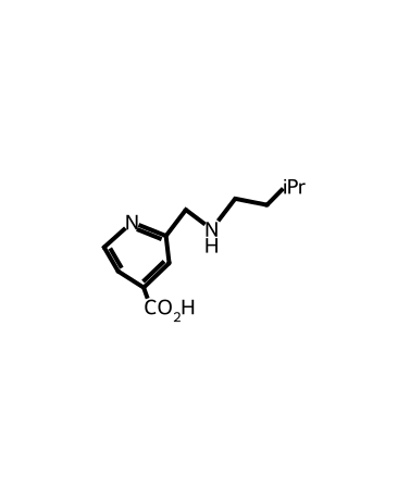 CC(C)CCNCc1cc(C(=O)O)ccn1